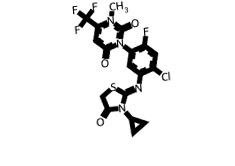 Cn1c(C(F)(F)F)cc(=O)n(-c2cc(N=C3SCC(=O)N3C3CC3)c(Cl)cc2F)c1=O